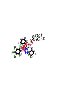 CCCCCCCCC(CCCCCCCC)COC(=O)[C@H](Cc1ccccc1)NP(=O)(Oc1ccccc1)Oc1c(F)c(F)c(F)c(F)c1F